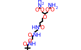 CC(C)(C)C(=O)NOCC(=O)NCCNC(=O)CCCOC(COC(N)=O)COC(N)=O